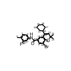 Cc1ccc(NC(=O)c2cc(Br)c3c(c2)C(C2CCCCC2)=CC(C)(C)O3)cc1F